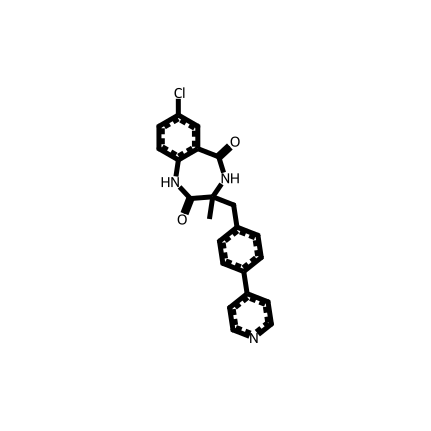 CC1(Cc2ccc(-c3ccncc3)cc2)NC(=O)c2cc(Cl)ccc2NC1=O